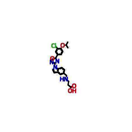 CC(C)Oc1ccc(-c2nc(-n3ccc4cc(CNCCC(=O)O)ccc43)no2)cc1Cl